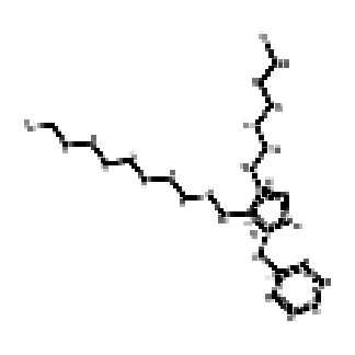 CCCCCCCCCCCc1n(Cc2ccccc2)cc[n+]1CCCCCCC